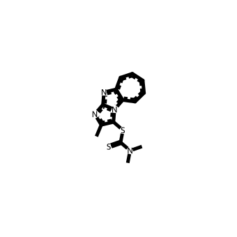 Cc1nc2nc3cccccc3n2c1SC(=S)N(C)C